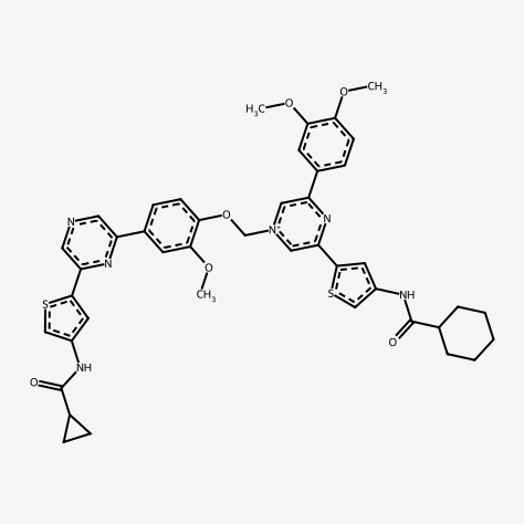 COc1ccc(-c2c[n+](COc3ccc(-c4cncc(-c5cc(NC(=O)C6CC6)cs5)n4)cc3OC)cc(-c3cc(NC(=O)C4CCCCC4)cs3)n2)cc1OC